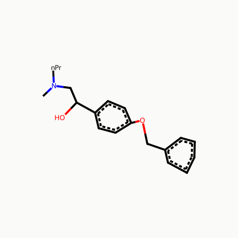 CCCN(C)CC(O)c1ccc(OCc2ccccc2)cc1